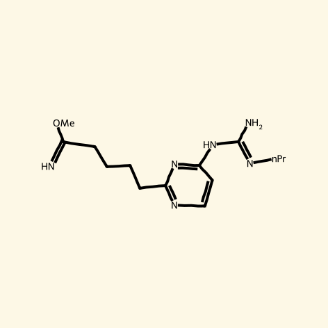 CCCN=C(N)Nc1ccnc(CCCCC(=N)OC)n1